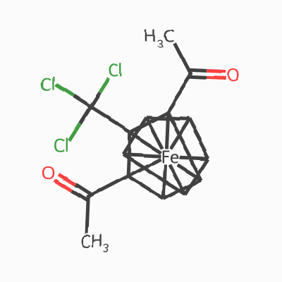 CC(=O)[C]12[CH]3[CH]4[C]5(C(C)=O)[C]1(C(Cl)(Cl)Cl)[Fe]34251678[CH]2[CH]1[CH]6[CH]7[CH]28